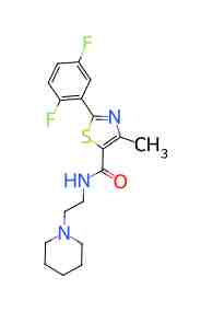 Cc1nc(-c2cc(F)ccc2F)sc1C(=O)NCCN1CCCCC1